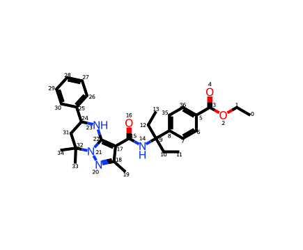 CCOC(=O)c1ccc(C(CC)(CC)NC(=O)c2c(C)nn3c2NC(c2ccccc2)CC3(C)C)cc1